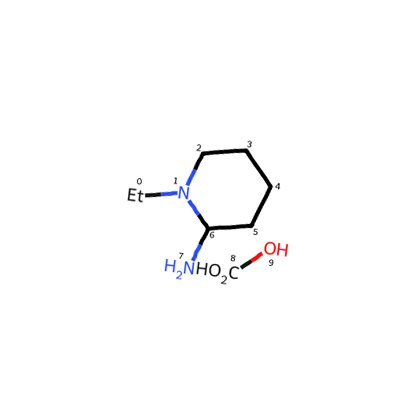 CCN1CCCCC1N.O=C(O)O